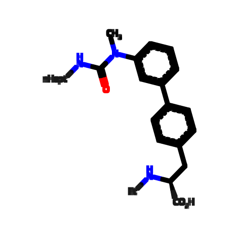 CCCCCCCNC(=O)N(C)c1cccc(-c2ccc(C[C@H](NCC)C(=O)O)cc2)c1